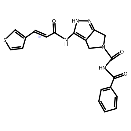 O=C(/C=C/c1ccsc1)Nc1[nH]nc2c1CN(C(=O)NC(=O)c1ccccc1)C2